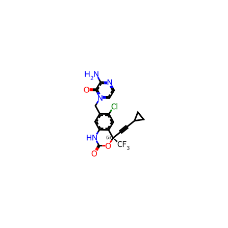 Nc1nccn(Cc2cc3c(cc2Cl)[C@@](C#CC2CC2)(C(F)(F)F)OC(=O)N3)c1=O